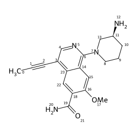 CC#Cc1cnc(N2CCC[C@H](N)C2)c2cc(OC)c(C(N)=O)cc12